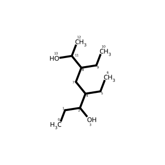 CCC(O)C(CC)CC(CC)C(C)O